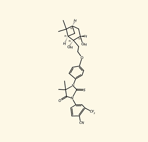 CC1(C)[C@@H]2C[C@H]1[C@](O)(CCOc1ccc(N3C(=S)N(c4ccc(C#N)c(C(F)(F)F)c4)C(=O)C3(C)C)cc1)[C@@H](O)C2